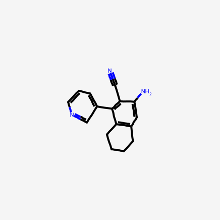 N#Cc1c(N)cc2c(c1-c1cccnc1)CCCC2